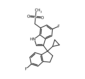 CS(=O)(=O)Cc1cc(F)cc2c(C3(C4CC4)CCc4cc(F)ccc43)c[nH]c12